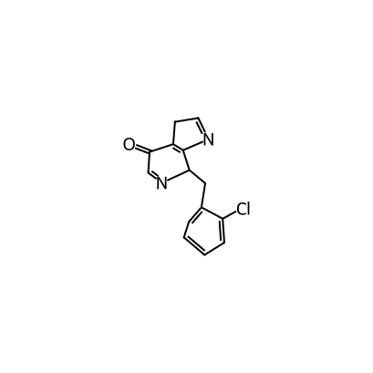 O=C1C=NC(Cc2ccccc2Cl)C2=C1CC=N2